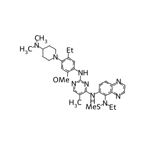 CCc1cc(Nc2ncc(C)c(Nc3ccc4nccnc4c3N(CC)SC)n2)c(OC)cc1N1CCC(N(C)C)CC1